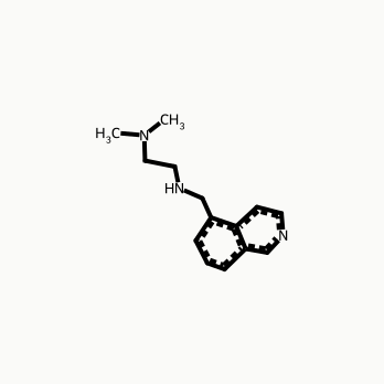 CN(C)CCNCc1cccc2cnccc12